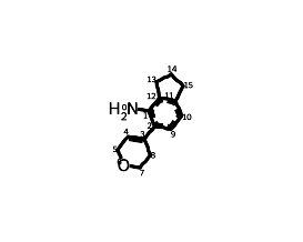 Nc1c(C2=CCOCC2)ccc2c1CCC2